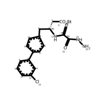 CCOC(=O)C[C@@H](Cc1ccc(-c2cccc(Cl)c2)cc1)NC(=O)C(=O)NN